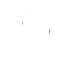 Cc1ccc(C(C)O)c([N+](=O)O)c1